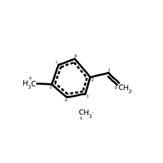 C=Cc1ccc(C)cc1.[CH3]